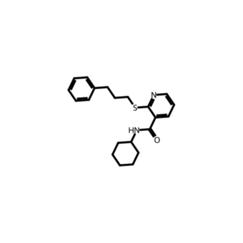 O=C(NC1CCCCC1)c1cccnc1SCCCc1ccccc1